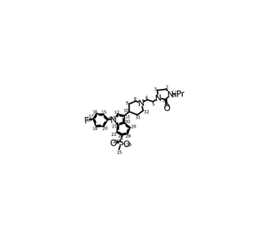 CC(C)N1CCN(CCN2CCC(c3cn(-c4ccc(F)cc4)c4cc(S(C)(=O)=O)ccc34)CC2)C1=O